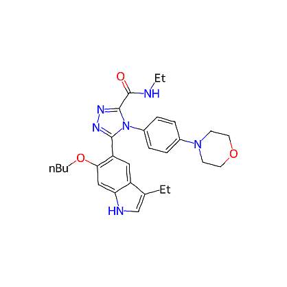 CCCCOc1cc2[nH]cc(CC)c2cc1-c1nnc(C(=O)NCC)n1-c1ccc(N2CCOCC2)cc1